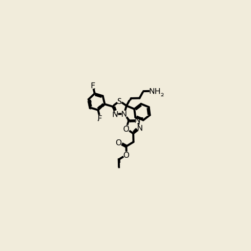 CCOC(=O)Cc1nnc(N2N=C(c3cc(F)ccc3F)SC2(CCCN)c2ccccc2)o1